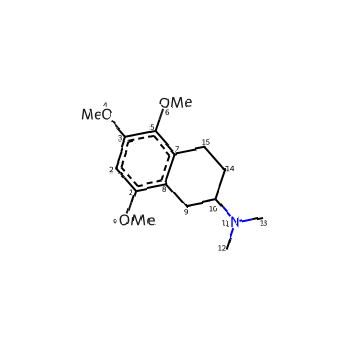 COc1cc(OC)c(OC)c2c1CC(N(C)C)CC2